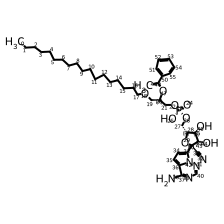 CCCCCCCCCCCCCCCCCCOC[C@H](COP(=O)(O)OC[C@H]1O[C@@](C#N)(c2ccc3c(N)ncnn23)[C@H](O)[C@@H]1O)OC(C)c1ccccc1